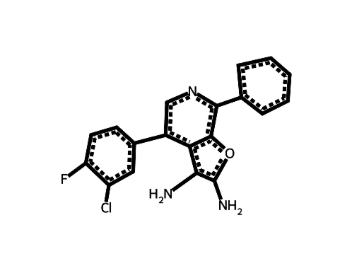 Nc1oc2c(-c3ccccc3)ncc(-c3ccc(F)c(Cl)c3)c2c1N